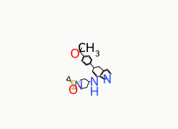 CC(=O)c1ccc(C2C=C(NC3CCN([S@@+]([O-])C4CC4)CC3)c3cnccc3C2)cc1